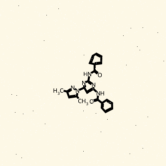 Cc1cc(C)n(-c2cc(NC(=O)c3ccccc3)nc(NC(=O)c3ccccc3)n2)n1